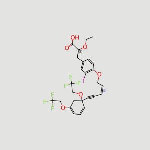 CCO[C@@H](Cc1ccc(OC/C=C\C#CC2(OCC(F)(F)F)C=CC=C(OCC(F)(F)F)C2)c(I)c1)C(=O)O